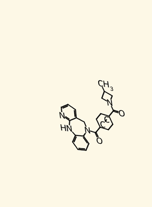 CC1CN(C(=O)C23CCC(C(=O)N4Cc5cccnc5Nc5ccccc54)(CC2)CC3)C1